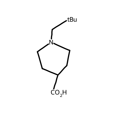 CC(C)(C)CN1CCC(C(=O)O)CC1